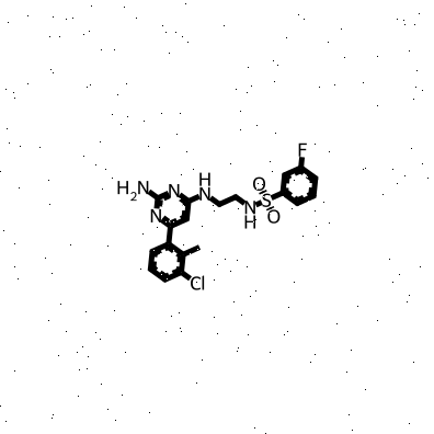 Cc1c(Cl)cccc1-c1cc(NCCNS(=O)(=O)c2cccc(F)c2)nc(N)n1